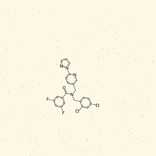 O=C(c1cc(F)cc(F)c1)N(Cc1ccc(-n2cccn2)nc1)Cc1ccc(Cl)cc1Cl